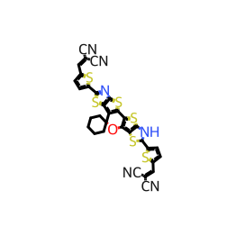 N#CC(C#N)=Cc1ccc(-c2nc3sc4c(c3s2)C2(CCCCC2)Oc2c-4sc3c2SC(c2ccc(C=C(C#N)C#N)s2)N3)s1